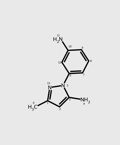 Cc1cc(N)n(-c2cccc(N)c2)n1